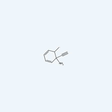 C#CC1(N)C=CC=CC1[CH2]